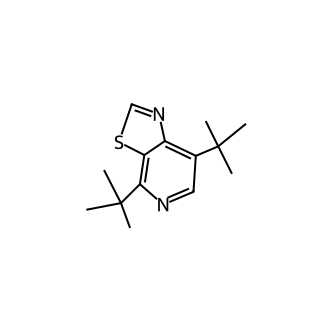 CC(C)(C)c1cnc(C(C)(C)C)c2scnc12